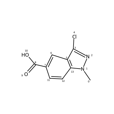 Cn1nc(Cl)c2cc(C(=O)O)ccc21